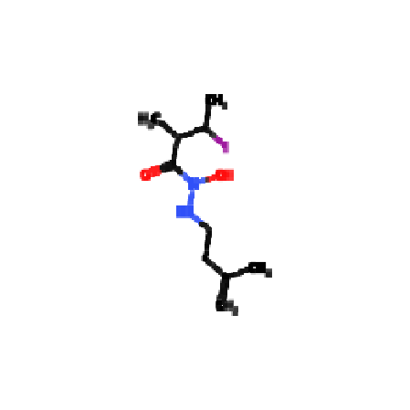 C=C(C)CCNN(O)C(=O)C(C)C(C)I